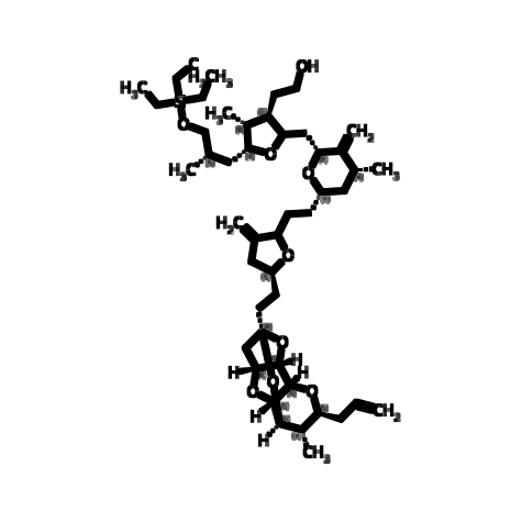 C=CC[C@@H]1O[C@@H]2[C@H]3O[C@@H]4C[C@@](CC[C@H]5CC(=C)C(CC[C@H]6C[C@@H](C)C(=C)[C@@H](CC7O[C@H](C[C@H](C)CO[Si](CC)(CC)CC)[C@H](C)[C@H]7CCO)O6)O5)(O[C@H]24)O[C@H]3[C@H]1C